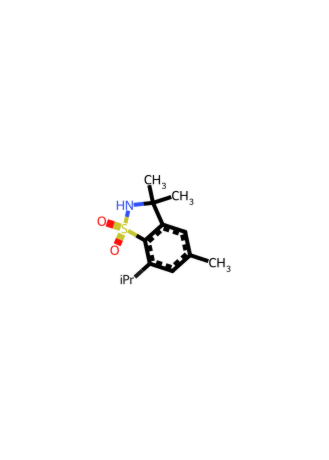 Cc1cc(C(C)C)c2c(c1)C(C)(C)NS2(=O)=O